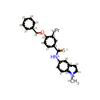 CC(C)c1cc(C(=S)Nc2ccc3c(ccn3C)c2)ccc1OCc1ccccc1